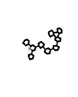 c1ccc(-c2cc(-c3cccc(-c4cccc(-c5cccc(-c6ccc7c8ccccc8c8ccccc8c7c6)c5)c4)c3)cc(-c3ccccc3)n2)cc1